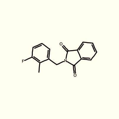 Cc1c(F)cccc1CN1C(=O)c2ccccc2C1=O